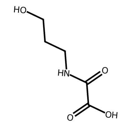 O=C(O)C(=O)NCCCO